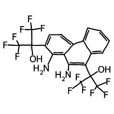 Nc1c(C(O)(C(F)(F)F)C(F)(F)F)ccc2c1c(N)c(C(O)(C(F)(F)F)C(F)(F)F)c1ccccc12